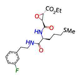 CCOC(=O)[C@H]1O[C@@H]1C(=O)N[C@@H](CCCSC)C(=O)NCCc1cccc(F)c1